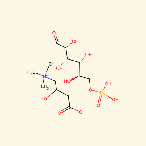 C[N+](C)(C)CC(O)CC(=O)[O-].O=C[C@H](O)[C@@H](O)[C@H](O)[C@H](O)COP(=O)(O)O